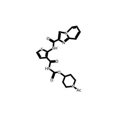 CC(=O)N1CCC(OC(=O)NC(=O)c2ccsc2NC(=O)c2cn3ccccc3n2)CC1